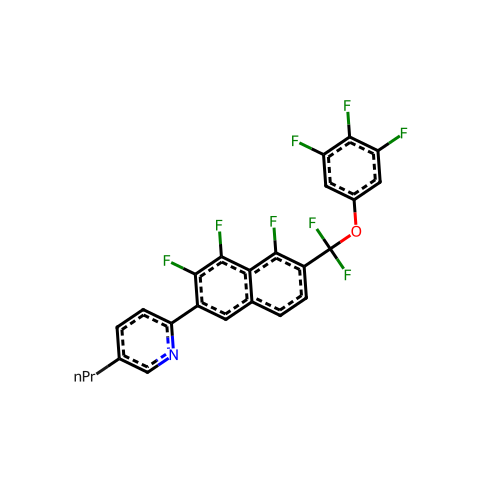 CCCc1ccc(-c2cc3ccc(C(F)(F)Oc4cc(F)c(F)c(F)c4)c(F)c3c(F)c2F)nc1